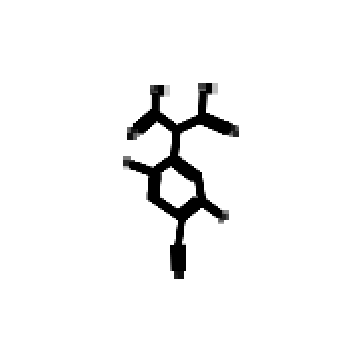 N#Cc1cc(F)c(C(C(=O)O)C(=O)O)cc1F